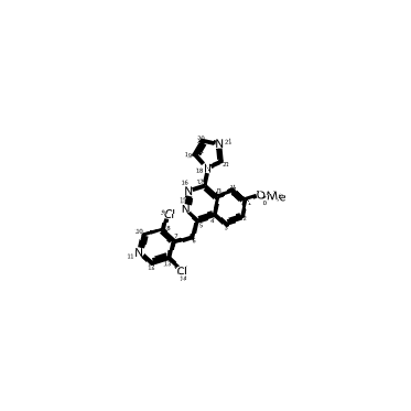 COc1ccc2c(Cc3c(Cl)cncc3Cl)nnc(-n3ccnc3)c2c1